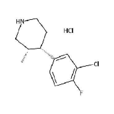 C[C@@H]1CNCC[C@@H]1c1ccc(F)c(Cl)c1.Cl